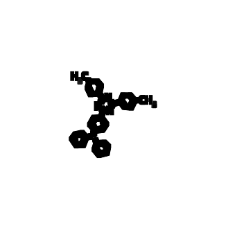 CC1=CC=C(c2nc(C3=CCC(C)C=C3)nc(-c3ccc(P(c4ccccc4)c4ccccc4)cc3)n2)CC1